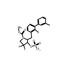 CC(C)(C)OC(=O)N1CC(F)(F)C(OS(=O)(=O)C(F)(F)F)C1Cc1cccc(-c2cccc(F)c2)c1F